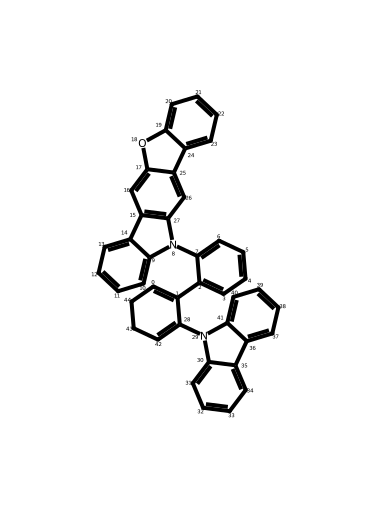 C1=C(c2ccccc2-n2c3ccccc3c3cc4oc5ccccc5c4cc32)C(n2c3ccccc3c3ccccc32)=CCC1